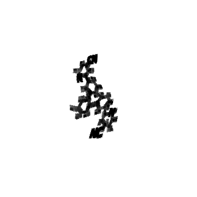 N#CC1=CC(c2ccc3c4ccc(-c5cc(C#N)ccn5)cc4c4ccccc4c3c2)=NCC1